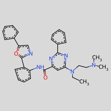 CCN(CCN(C)C)c1cc(C(=O)Nc2ccccc2-c2ncc(-c3ccccc3)o2)nc(-c2ccccc2)n1